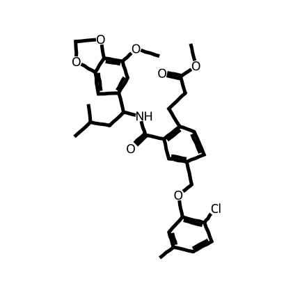 COC(=O)CCc1ccc(COc2cc(C)ccc2Cl)cc1C(=O)NC(CC(C)C)c1cc(OC)c2c(c1)OCO2